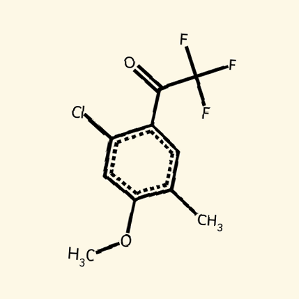 COc1cc(Cl)c(C(=O)C(F)(F)F)cc1C